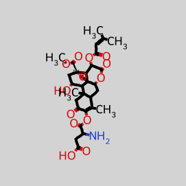 COC(=O)[C@@]12CC(O)C3C4(C)CC(=O)C(OC(=O)C(N)CC(=O)O)=C(C)C4CC4OC(=O)C(OC(=O)C=C(C)C)C1C43CO2